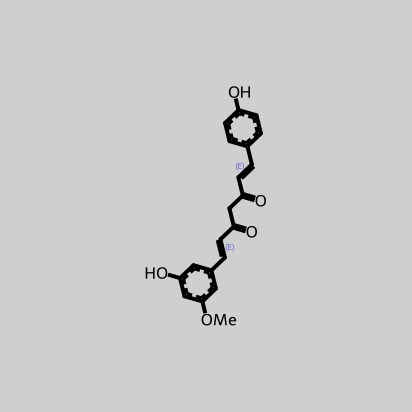 COc1cc(O)cc(/C=C/C(=O)CC(=O)/C=C/c2ccc(O)cc2)c1